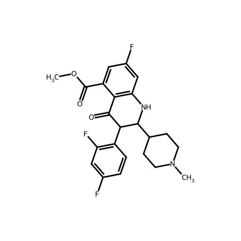 COC(=O)c1cc(F)cc2c1C(=O)C(c1ccc(F)cc1F)C(C1CCN(C)CC1)N2